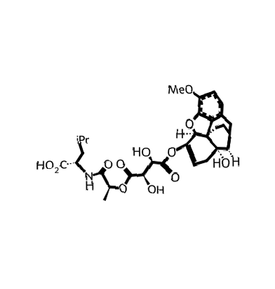 COc1ccc2c3c1O[C@@H]1C(OC(=O)[C@H](O)[C@@H](O)C(=O)O[C@@H](C)C(=O)N[C@@H](CC(C)C)C(=O)O)=CC[C@]4(O)[C@@H](CCC[C@@]314)C2